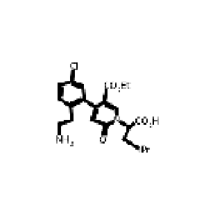 CCOC(=O)c1cn(C(CC(C)C)C(=O)O)c(=O)cc1-c1cc(Cl)ccc1CCN